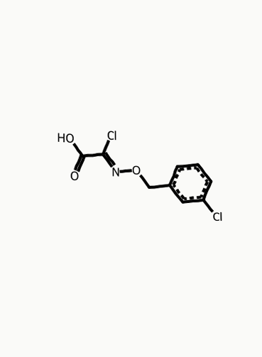 O=C(O)C(Cl)=NOCc1cccc(Cl)c1